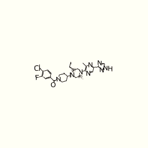 CC[C@H]1CN(c2ncc(-c3nc[nH]n3)nc2C)[C@H](C)CN1C1CCN(C(=O)c2ccc(Cl)c(F)c2)CC1